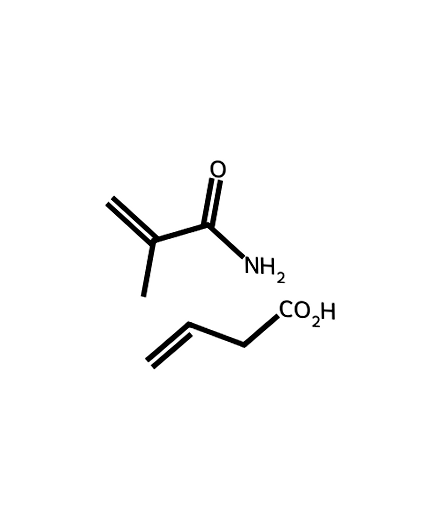 C=C(C)C(N)=O.C=CCC(=O)O